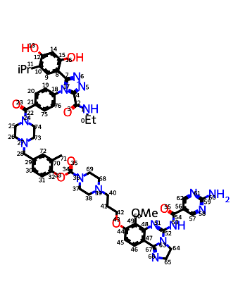 CCNC(=O)c1nnc(-c2cc(C(C)C)c(O)cc2O)n1-c1ccc(C(=O)N2CCN(Cc3ccc(OC(=O)N4CCN(CCCOc5ccc6c(c5OC)N=C(NC(=O)c5cnc(N)nc5)N5CCN=C65)CC4)c(C)c3)CC2)cc1